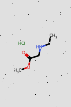 CCNCC(=O)OC.Cl